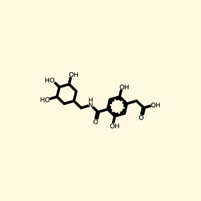 O=C(O)Cc1cc(O)c(C(=O)NCC2CC(O)C(O)C(O)C2)cc1O